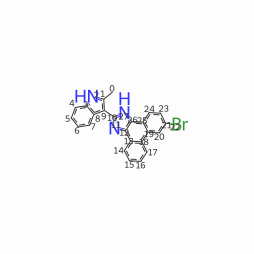 Cc1[nH]c2ccccc2c1-c1nc2c3ccccc3c3cc(Br)ccc3c2[nH]1